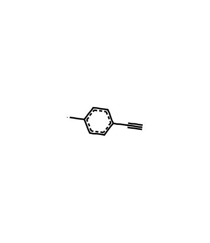 C#Cc1ccc([CH2])cc1